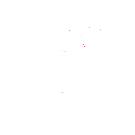 N#CC1CC(C2NC(c3ccccc3)NC(C3CCCC(c4ccccc4)C3)N2)C(N2C3=C(C=CCC3)SC3CCC=CC32)CC1N1C2=C(CCCC2)C2CCC=CC21